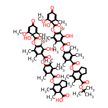 COC1=CC(=O)C=C(C)C1(O)C(=O)Oc1c(C)c(C)c(C(=O)Oc2cc(C)c(C(=O)Oc3c(C)c(C)c(C(=O)OC(C)(C)C)c4c3CCC4)c(C)c2C)c(O)c1Br.COC1=CC(=O)C=C(C)[C@]1(O)C(=O)Oc1c(C)c(C)c(C(=O)Oc2cc(C)c(C(=O)Oc3c(C)c(C)c(C(=O)O)c4c3CCC4)c(C)c2C)c(O)c1Br